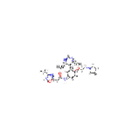 Cc1noc(CC(=O)Nc2ccc(OCCN3CCCC3)c(-c3c(C)ncnc3C)c2)n1